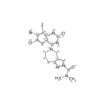 CN(C)C(=O)n1cc2c(n1)CCCN(c1nc(Cl)nc3c(F)c(Br)c(Cl)cc13)C2